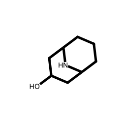 OC1CC2CCCC(C1)N2